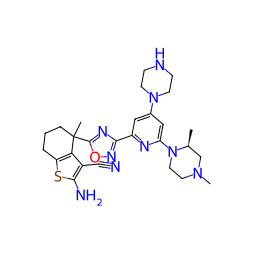 C[C@H]1CN(C)CCN1c1cc(N2CCNCC2)cc(-c2noc(C3(C)CCCc4sc(N)c(C#N)c43)n2)n1